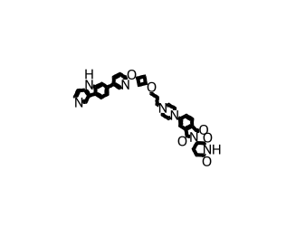 O=C1CCC(N2C(=O)c3ccc(N4CCN(CCCO[C@H]5C[C@@H](Oc6ccc(-c7ccc8c(c7)[nH]c7ccncc78)cn6)C5)CC4)cc3C2=O)C(=O)N1